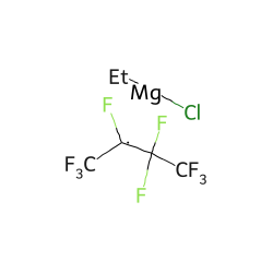 C[CH2][Mg][Cl].F[C](C(F)(F)F)C(F)(F)C(F)(F)F